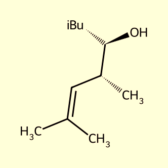 CC[C@@H](C)[C@@H](O)[C@H](C)C=C(C)C